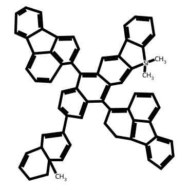 CC12C=CC(c3ccc4c(-c5ccc6c7c(cccc57)-c5ccccc5-6)c5cc6c(cc5c(C5=c7cccc8c7=C(CC5)c5ccccc5-8)c4c3)[Si](C)(C)c3ccccc3-6)=CC1C=CCC2